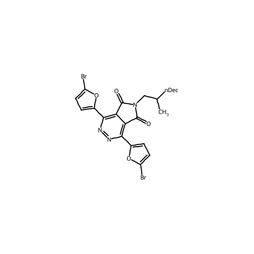 CCCCCCCCCCC(C)CN1C(=O)c2c(-c3ccc(Br)o3)nnc(-c3ccc(Br)o3)c2C1=O